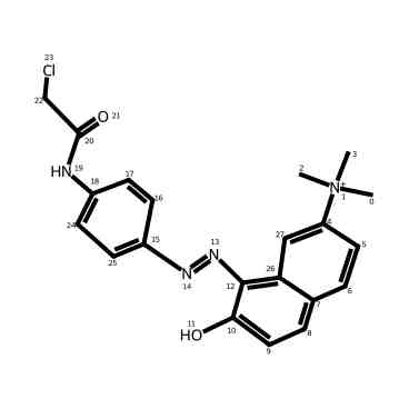 C[N+](C)(C)c1ccc2ccc(O)c(N=Nc3ccc(NC(=O)CCl)cc3)c2c1